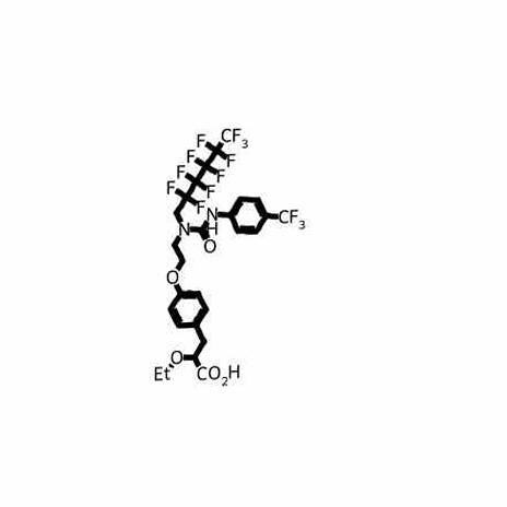 CCOC(Cc1ccc(OCCN(CC(F)(F)C(F)(F)C(F)(F)C(F)(F)C(F)(F)F)C(=O)Nc2ccc(C(F)(F)F)cc2)cc1)C(=O)O